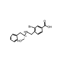 O=C(O)c1ccc(CN[C@H](CO)Cc2ccccc2)c(Br)c1